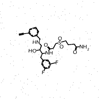 C#Cc1cccc(CNCC(O)C(Cc2cc(F)cc(F)c2)NC(=O)[CH]CS(=O)(=O)CCCC(N)=O)c1